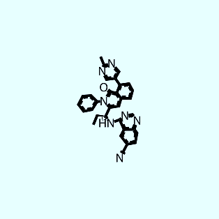 CC[C@H](Nc1ncnc2ccc(C#N)cc12)c1cc2cccc(-c3cnc(C)nc3)c2c(=O)n1-c1ccccc1